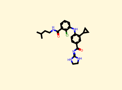 CC(C)CCNC(=O)c1cccc(Nc2ccc(C(=O)N=C3NCCN3)cc2C2CC2)c1Cl